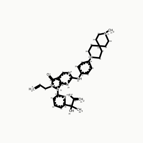 C=CCn1c(=O)c2cnc(Nc3ccc(N4CCC5(CCN(C)CC5)CC4)cc3)nc2n1-c1cccc(C(C)(O)C(=C)F)n1